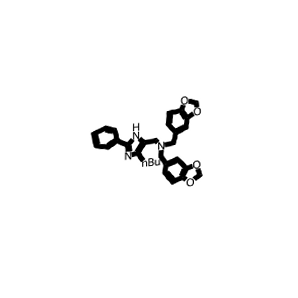 CCCCc1nc(-c2ccccc2)[nH]c1CN(Cc1ccc2c(c1)OCO2)Cc1ccc2c(c1)OCO2